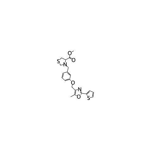 COC(=O)C1CSCN1Cc1cccc(OCc2nc(-c3cccs3)oc2C)c1